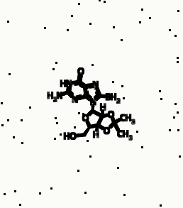 Bc1nc2c(=O)[nH]c(N)nc2n1[C@@H]1O[C@H](CO)[C@H]2OC(C)(C)O[C@H]21